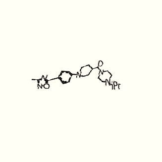 Cc1noc(-c2ccc(N3CCC(C(=O)N4CCN(C(C)C)CC4)CC3)cc2)n1